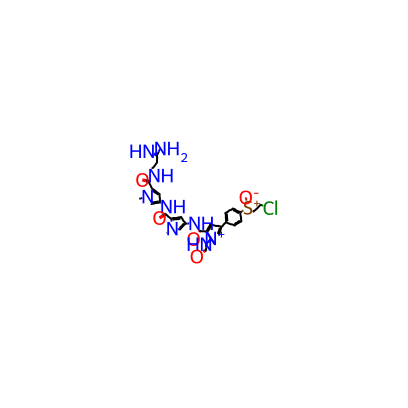 Cn1cc(NC(=O)c2cc(NC(=O)C3=CC(c4ccc([S+]([O-])CCCl)cc4)=C[N+]3(C)NC=O)cn2C)cc1C(=O)NCCC(=N)N